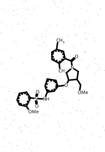 COCC1CN(C(=O)c2cc(C)ccc2C)CC1Oc1cccc(NS(=O)(=O)c2ccccc2OC)c1